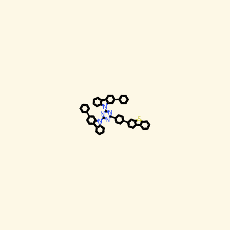 c1ccc(-c2ccc3c4ccccc4n(-c4nc(-c5ccc(-c6ccc7c(c6)sc6ccccc67)cc5)nc(-n5c6ccccc6c6ccc(-c7ccccc7)cc65)n4)c3c2)cc1